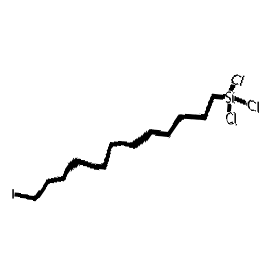 Cl[Si](Cl)(Cl)CCCCCCCCCCCCI